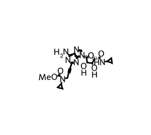 COC(=O)N(CC#Cc1nc(N)c2ncn([C@@H]3O[C@H](C(=O)NC4CC4)C(O)C3O)c2n1)C1CC1